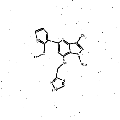 CCOc1ncccc1-c1cc(NCc2nc[nH]n2)c2c(n1)c(C)nn2[C@H](C)CC